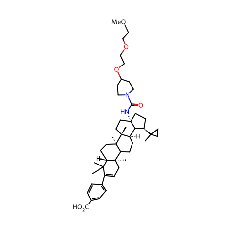 COCCOCCOC1CCN(C(=O)N[C@]23CC[C@@H](C4(C)CC4)C2[C@H]2CCC4[C@@]5(C)CC=C(c6ccc(C(=O)O)cc6)C(C)(C)[C@@H]5CC[C@@]4(C)[C@]2(C)CC3)CC1